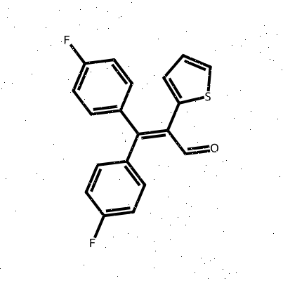 O=CC(=C(c1ccc(F)cc1)c1ccc(F)cc1)c1cccs1